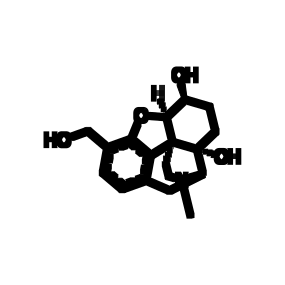 CN1CC[C@]23c4c5ccc(CO)c4O[C@H]2[C@@H](O)CC[C@@]3(O)C1C5